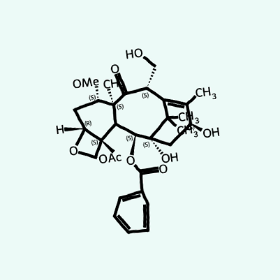 CO[C@H]1C[C@H]2OC[C@@]2(OC(C)=O)C2[C@H](OC(=O)c3ccccc3)[C@]3(O)C[C@H](O)C(C)=C([C@@H](CO)C(=O)[C@@]21C)C3(C)C